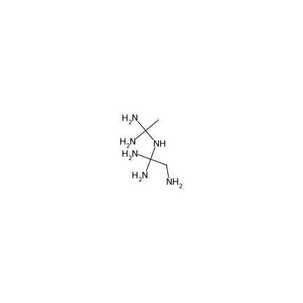 CC(N)(N)NC(N)(N)CN